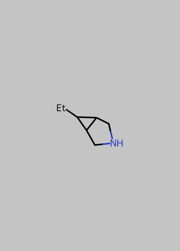 [CH2]CC1C2CNCC12